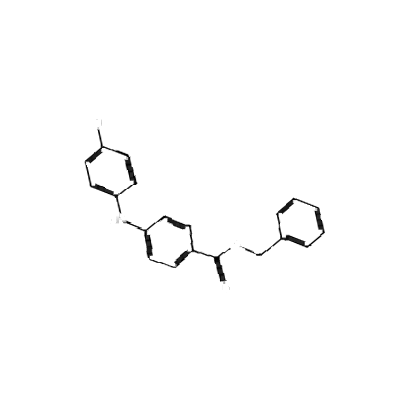 O=C(OCc1ccccc1)c1ccc(Nc2ccc(Cl)cc2)cc1